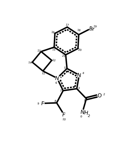 NC(=O)c1nc2n(c1C(F)F)C1CC(C1)c1ccc(Br)cc1-2